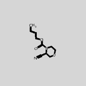 CCCCOC(=O)N1CCOCC1C#N